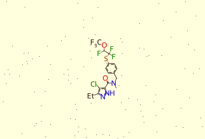 CCc1n[nH]c(C(=O)N(C)Cc2ccc(SC(F)(F)C(F)OC(F)(F)F)cc2)c1Cl